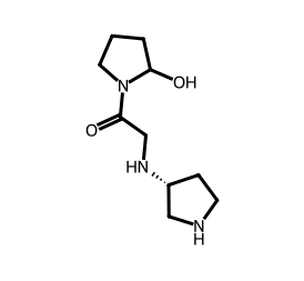 O=C(CN[C@@H]1CCNC1)N1CCCC1O